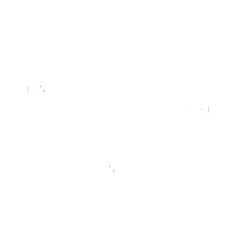 Nc1cccc(-c2cncc3sc(C(=O)O)cc23)c1